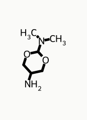 CN(C)C1OCC(N)CO1